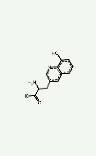 NC(Cc1cnc2c(O)cccc2c1)C(=O)O